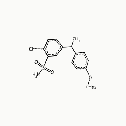 CCCCCCOc1ccc(C(C)c2ccc(Cl)c(S(N)(=O)=O)c2)cc1